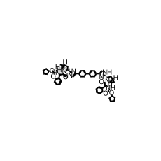 O=C(N[C@@H](C(=O)N1[C@@H]2C[C@@H]2C[C@H]1c1nc(-c2ccc(-c3ccc(-c4c[nH]c([C@@H]5C[C@H]6C[C@H]6N5C(=O)[C@H](NC(=O)OC5CCCC5)c5ccccc5)n4)cc3)cc2)c[nH]1)c1ccccc1)OC1CCCC1